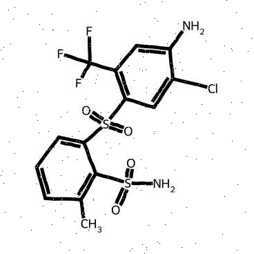 Cc1cccc(S(=O)(=O)c2cc(Cl)c(N)cc2C(F)(F)F)c1S(N)(=O)=O